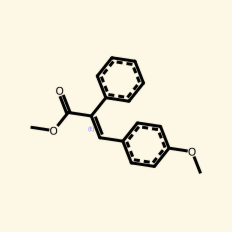 COC(=O)/C(=C/c1ccc(OC)cc1)c1ccccc1